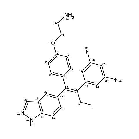 CC/C(=C(/c1ccc(OCCN)cc1)c1ccc2[nH]ncc2c1)c1cc(F)cc(F)c1